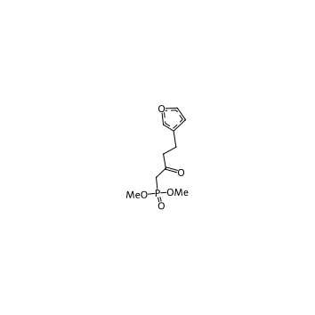 COP(=O)(CC(=O)CCc1ccoc1)OC